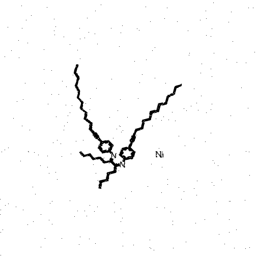 CCCCCCCCCCCCC#Cc1ccc(N=C(CCCCC)C(CCCCCC)=Nc2ccc(C#CCCCCCCCCCCCC)cc2)cc1.[Ni]